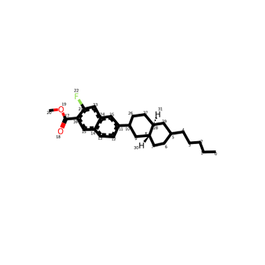 CCCCCC1CC[C@@H]2CC(c3ccc4cc(C(=O)OC)c(F)cc4c3)CC[C@H]2C1